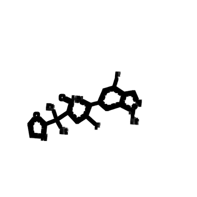 CCn1ncc2c(F)cc(-c3[nH]c(=O)c(C(CC)(CC)c4ncco4)cc3F)cc21